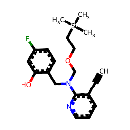 C#Cc1cccnc1N(COCC[Si](C)(C)C)Cc1ccc(F)cc1O